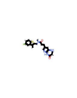 Cc1c(CN(C)C(=O)/C=C/c2cnc3c(c2)NCCC(=O)N3)sc2ccc(F)cc12